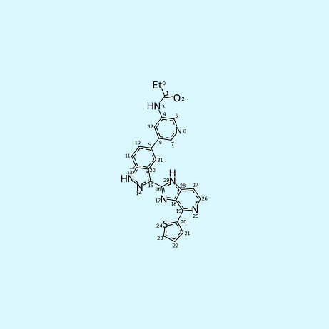 CCC(=O)Nc1cncc(-c2ccc3[nH]nc(-c4nc5c(-c6cccs6)nccc5[nH]4)c3c2)c1